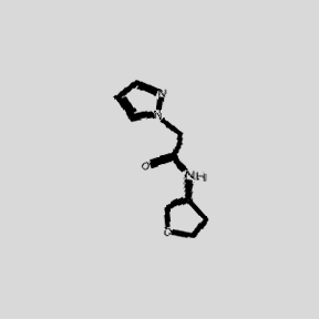 O=C(Cn1c[c]cn1)NC1CCOC1